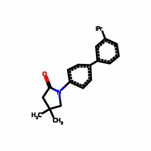 CC(C)c1cccc(-c2ccc(N3CC(C)(C)CC3=O)cc2)c1